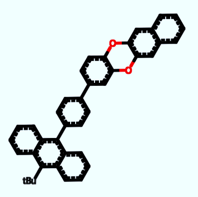 CC(C)(C)c1c2ccccc2c(-c2ccc(-c3ccc4c(c3)Oc3cc5ccccc5cc3O4)cc2)c2ccccc12